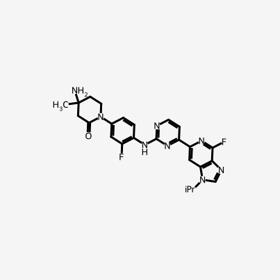 CC(C)n1cnc2c(F)nc(-c3ccnc(Nc4ccc(N5CCC(C)(N)CC5=O)cc4F)n3)cc21